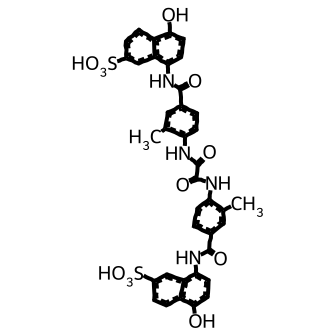 Cc1cc(C(=O)Nc2ccc(O)c3ccc(S(=O)(=O)O)cc23)ccc1NC(=O)C(=O)Nc1ccc(C(=O)Nc2ccc(O)c3ccc(S(=O)(=O)O)cc23)cc1C